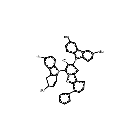 CC(C)(C)c1ccc2c(c1)c1c(n2-c2c(C#N)c(-n3c4ccc(C(C)(C)C)cc4c4cc(C(C)(C)C)ccc43)cc3c2oc2c(-c4ccccc4)cccc23)C=CC(C(C)(C)C)C1